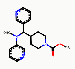 CC(C)(C)OC(=O)N1CCC(C(c2cccnc2)N(C=O)c2cccnc2)CC1